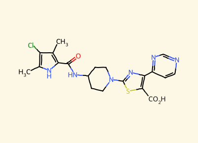 Cc1[nH]c(C(=O)NC2CCN(c3nc(-c4ccncn4)c(C(=O)O)s3)CC2)c(C)c1Cl